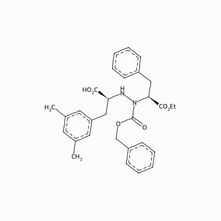 CCOC(=O)[C@H](Cc1ccccc1)N(N[C@@H](Cc1cc(C)cc(C)c1)C(=O)O)C(=O)OCc1ccccc1